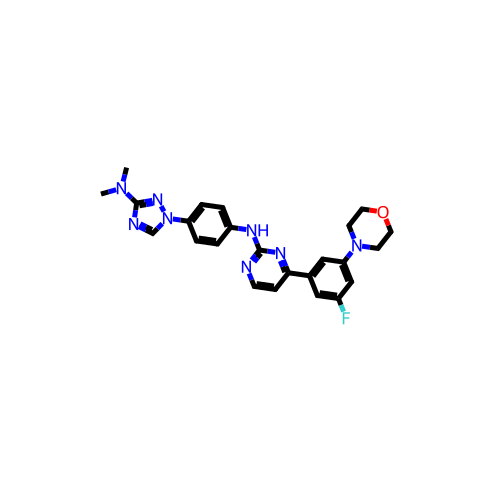 CN(C)c1ncn(-c2ccc(Nc3nccc(-c4cc(F)cc(N5CCOCC5)c4)n3)cc2)n1